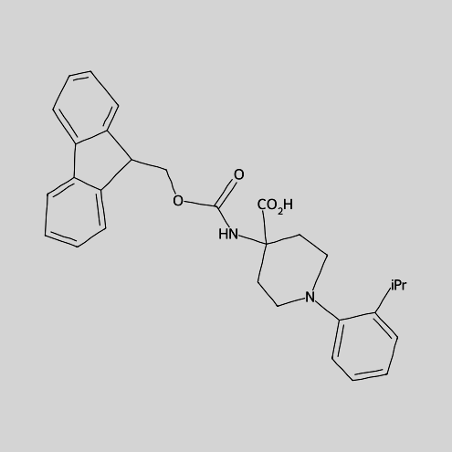 CC(C)c1ccccc1N1CCC(NC(=O)OCC2c3ccccc3-c3ccccc32)(C(=O)O)CC1